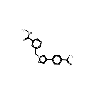 C=C(N)c1ccc(-c2cnn(Cc3cccc(C(=O)NC)c3)c2)cc1